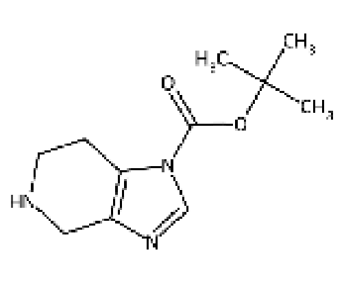 CC(C)(C)OC(=O)n1cnc2c1CCNC2